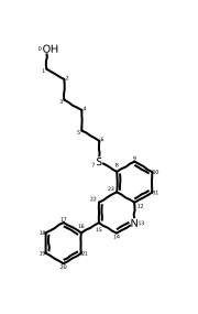 OCCCCCCSc1cccc2ncc(-c3ccccc3)cc12